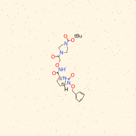 CC(C)(C)OC(=O)N1CCN(C(=O)CONC(=O)[C@@H]2CC[C@@H]3CN2C(=O)N3OCc2ccccc2)CC1